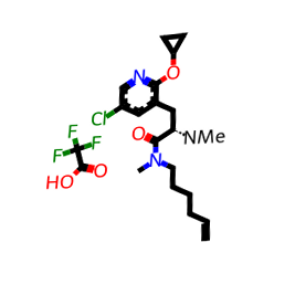 C=CCCCCN(C)C(=O)[C@H](Cc1cc(Cl)cnc1OC1CC1)NC.O=C(O)C(F)(F)F